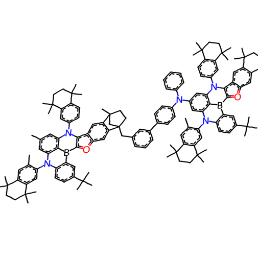 Cc1cc2c3c(c1)N(c1ccc4c(c1)C(C)(C)CCC4(C)C)c1c(oc4cc5c(cc14)C1(C)CCC5(Cc4cccc(-c5ccc(N(c6ccccc6)c6cc7c8c(c6)N(c6ccc9c(c6)C(C)(C)CCC9(C)C)c6c(oc9cc%10c(cc69)C(C)(C)CCC%10(C)C)B8c6cc(C(C)(C)C)ccc6N7c6cc7c(cc6C)C(C)(C)CCC7(C)C)cc5)c4)C1)B3c1cc(C(C)(C)C)ccc1N2c1cc2c(cc1C)C(C)(C)CCC2(C)C